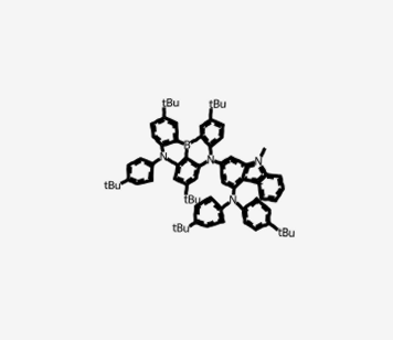 Cn1c2ccccc2c2c(N(c3ccc(C(C)(C)C)cc3)c3ccc(C(C)(C)C)cc3)cc(N3c4ccc(C(C)(C)C)cc4B4c5cc(C(C)(C)C)ccc5N(c5ccc(C(C)(C)C)cc5)c5cc(C(C)(C)C)cc3c54)cc21